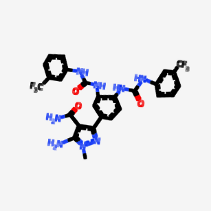 Cn1nc(-c2ccc(NC(=O)Nc3cccc(C(F)(F)F)c3)c(NC(=O)Nc3cccc(C(F)(F)F)c3)c2)c(C(N)=O)c1N